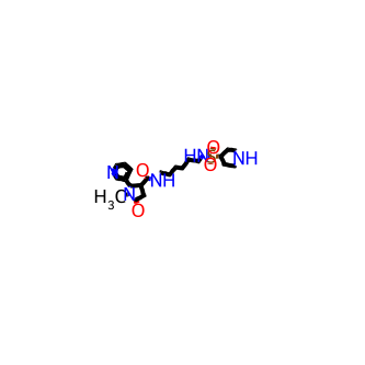 CN1C(=O)CC(C(=O)NCCCCCCNS(=O)(=O)C2CCNCC2)C1c1cccnc1